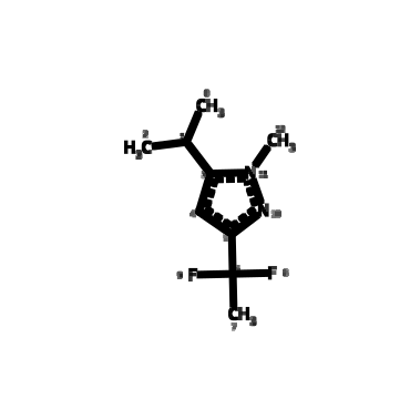 CC(C)c1cc(C(C)(F)F)nn1C